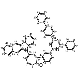 C1=CC2Oc3ccc(-c4nc(-c5ccccc5)nc(-c5ccc(-c6ccccc6)cc5)n4)cc3C2=CC(n2c3ccccc3c3cc4ccccc4cc32)=C1